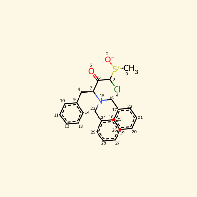 C[S+]([O-])C(Cl)C(=O)[C@H](Cc1ccccc1)N(Cc1ccccc1)Cc1ccccc1